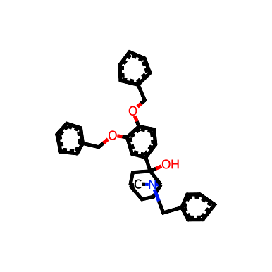 OC1(c2ccc(OCc3ccccc3)c(OCc3ccccc3)c2)CC2CCC1N(Cc1ccccc1)C2